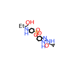 CCC(CO)Nc1ccc(S(=O)(=O)Oc2ccc3[nH]c(NC(=O)C4CC4)nc3c2)cc1